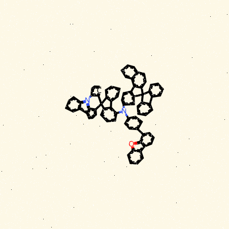 c1ccc2c(c1)-c1ccccc1C21c2cc(N(c3ccc(-c4cccc5c4oc4ccccc45)cc3)c3cccc4c3-c3ccccc3C43c4ccccc4-n4c5ccccc5c5cccc3c54)ccc2-c2c1ccc1ccccc21